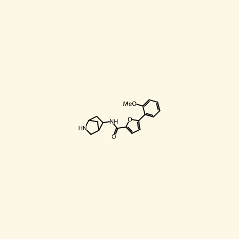 COc1ccccc1-c1ccc(C(=O)NC2CC3CC2CN3)o1